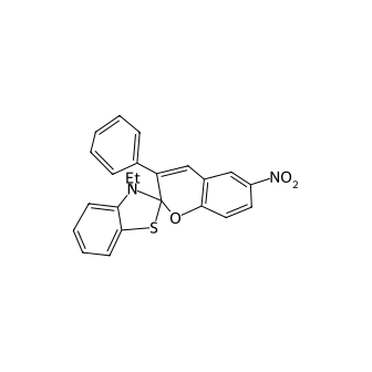 CCN1c2ccccc2SC12Oc1ccc([N+](=O)[O-])cc1C=C2c1ccccc1